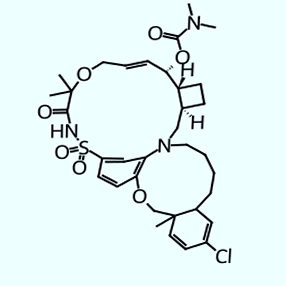 CN(C)C(=O)O[C@H]1/C=C/COC(C)(C)C(=O)NS(=O)(=O)c2ccc3c(c2)N(CCCCC2C=C(Cl)C=CC2(C)CO3)C[C@@H]2CC[C@H]21